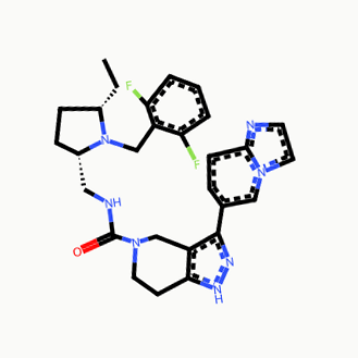 CC[C@H]1CC[C@@H](CNC(=O)N2CCc3[nH]nc(-c4ccc5nccn5c4)c3C2)N1Cc1c(F)cccc1F